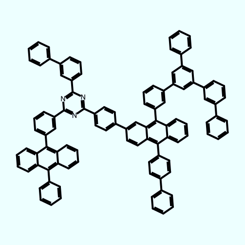 c1ccc(-c2ccc(-c3c4ccccc4c(-c4cccc(-c5cc(-c6ccccc6)cc(-c6cccc(-c7ccccc7)c6)c5)c4)c4cc(-c5ccc(-c6nc(-c7cccc(-c8ccccc8)c7)nc(-c7cccc(-c8c9ccccc9c(-c9ccccc9)c9ccccc89)c7)n6)cc5)ccc34)cc2)cc1